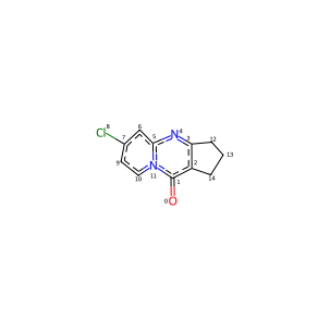 O=c1c2c(nc3cc(Cl)ccn13)CCC2